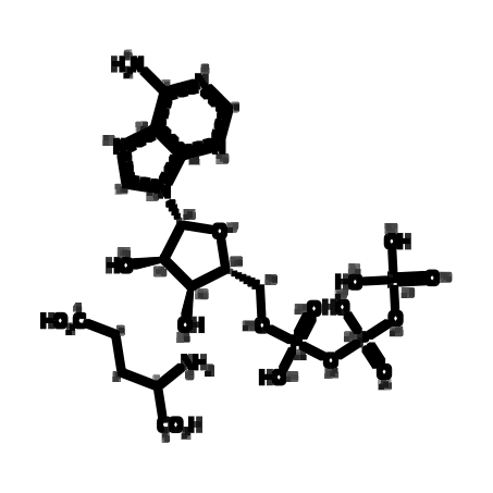 NC(CCC(=O)O)C(=O)O.Nc1ncnc2c1ncn2[C@@H]1O[C@H](COP(=O)(O)OP(=O)(O)OP(=O)(O)O)[C@@H](O)[C@H]1O